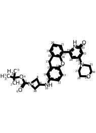 CC(C)(C)OC(=O)N1CC(Nc2ccc3c(c2)Cc2cccc(-c4cc(N5CCOCC5)cc(=O)[nH]4)c2O3)C1